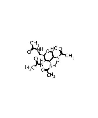 CC(=O)NC[C@H]1O[C@H](O)[C@@H](NC(C)=O)[C@H](NC(C)=O)[C@@H]1NC(C)=O